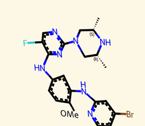 COc1ccc(Nc2nc(N3C[C@@H](C)N[C@@H](C)C3)ncc2F)cc1Nc1cc(Br)ccn1